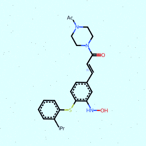 CC(=O)N1CCN(C(=O)/C=C/c2ccc(Sc3ccccc3C(C)C)c(NO)c2)CC1